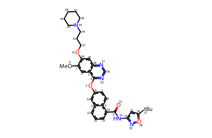 COc1cc2c(Oc3ccc4c(C(=O)Nc5cc(C(C)(C)C)on5)cccc4c3)ncnc2cc1OCCCN1CCCCC1